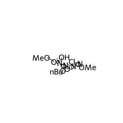 CCCCOc1cc(N2C[C@H](OCCCOC)[C@@H](C)[C@@H]2CO)cnc1OC1CCN(c2cc(OC)ncc2Cl)CC1C